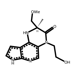 COC[C@]1(C)Nc2c(cnc3[nH]ccc23)N(CCO)C1=O